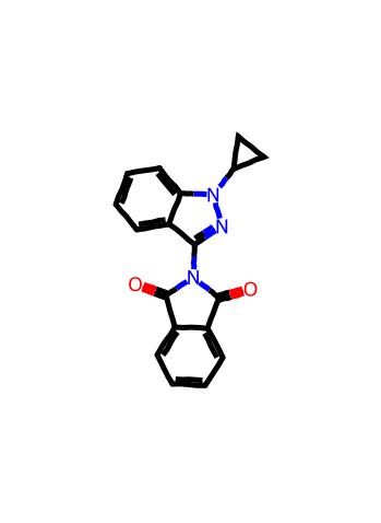 O=C1c2ccccc2C(=O)N1c1nn(C2CC2)c2ccccc12